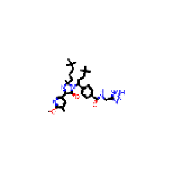 COc1ncc(C2=NC(C)(CCCC(C)(C)C)N(C(CCC(C)(C)C)c3ccc(C(=O)NCc4nn[nH]n4)cc3)C2=O)cc1C